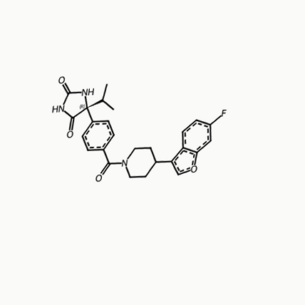 CC(C)[C@]1(c2ccc(C(=O)N3CCC(c4coc5cc(F)ccc45)CC3)cc2)NC(=O)NC1=O